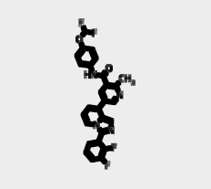 Cc1ncc(-c2cccn3c(-c4cccc(F)c4F)ncc23)cc1C(=O)Nc1ccc(OC(F)F)cc1